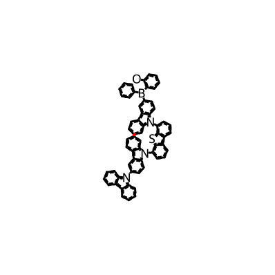 c1ccc2c(c1)Oc1ccccc1B2c1ccc2c(c1)c1ccccc1n2-c1cccc2c1sc1c(-n3c4ccccc4c4cc(-n5c6ccccc6c6ccccc65)ccc43)cccc12